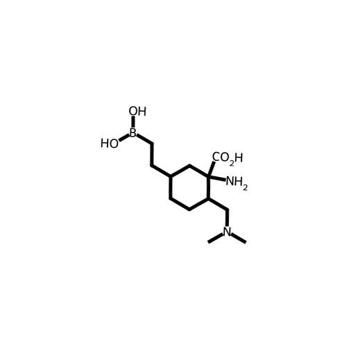 CN(C)CC1CCC(CCB(O)O)CC1(N)C(=O)O